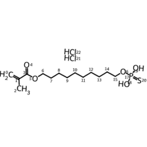 C=C(C)C(=O)OCCCCCCCCCCOP(O)(O)=S.Cl.Cl